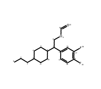 CCCC1CCC(C(COC=O)c2ccc(F)c(F)c2)CC1